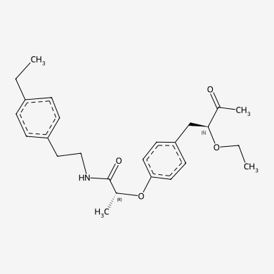 CCO[C@@H](Cc1ccc(O[C@H](C)C(=O)NCCc2ccc(CC)cc2)cc1)C(C)=O